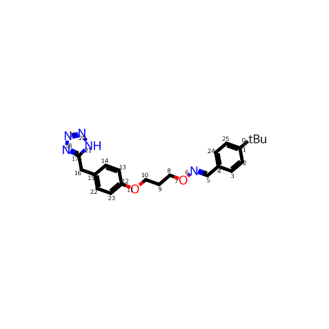 CC(C)(C)c1ccc(C=NOCCCOc2ccc(Cc3nnn[nH]3)cc2)cc1